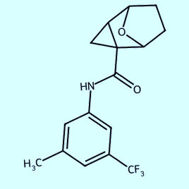 Cc1cc(NC(=O)C23CC2C2CCC3O2)cc(C(F)(F)F)c1